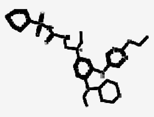 CCOc1ncc(Nc2cc([C@H](CC)CNC(=O)NS(=O)(=O)c3ccccc3)ccc2N(CC)C2CCOCC2)cn1